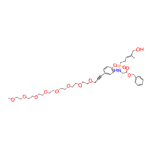 COCCOCCOCCOCCOCCOCCOCCOCC#Cc1ccc(OP(=O)(CC/C=C(\C)CO)N[C@@H](C)C(=O)OCc2ccccc2)cc1